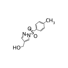 Cc1ccc(S(=O)(=O)n2cc(CO)cn2)cc1